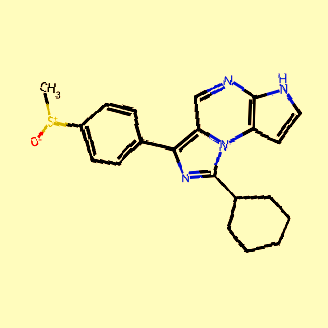 C[S+]([O-])c1ccc(-c2nc(C3CCCCC3)n3c2cnc2[nH]ccc23)cc1